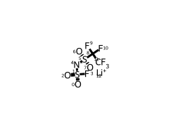 O=S(=O)(F)[N-]S(=O)(=O)C(F)(F)C(F)(F)F.[Li+]